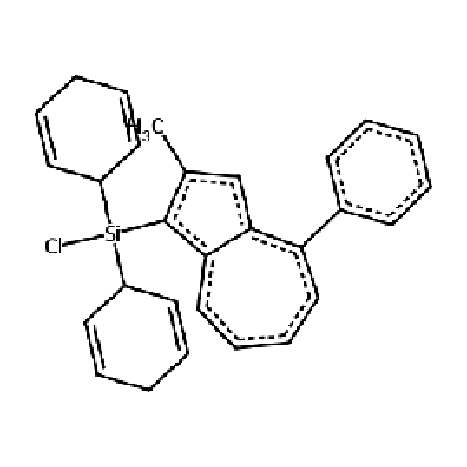 Cc1cc2c(-c3ccccc3)ccccc-2c1[Si](Cl)(C1C=CCC=C1)C1C=CCC=C1